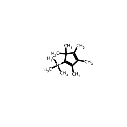 CC1=C(C)C(C)(C)C([N+](C)(C)C)=C1C